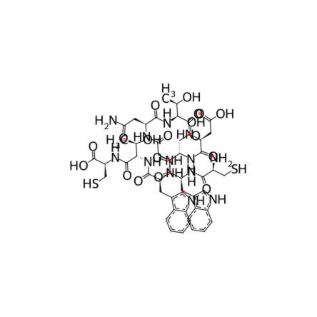 C[C@@H](O)[C@H](NC(=O)[C@H](Cc1c[nH]c2ccccc12)NC(=O)[C@H](CC(=O)O)NC(=O)[C@H](CC(=O)O)NC(=O)[C@@H](NC(=O)[C@H](CC(N)=O)NC(=O)CNC(=O)[C@H](Cc1c[nH]c2ccccc12)NC(=O)[C@@H](N)CS)[C@@H](C)O)C(=O)N[C@@H](CS)C(=O)O